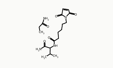 CC(C)C(NC(=O)CCCCCN1C(=O)C=CC1=O)C(N)=O.CCC(N)=O